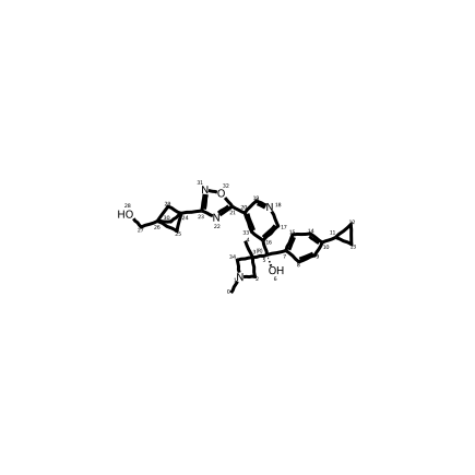 CN1CC(C)([C@](O)(c2ccc(C3CC3)cc2)c2cncc(-c3nc(C45CC(CO)(C4)C5)no3)c2)C1